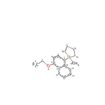 CS1(c2ccc(OCC(F)(F)F)c3ccccc23)CCCC1